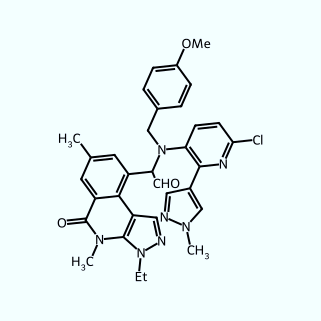 CCn1ncc2c3c(C(C=O)N(Cc4ccc(OC)cc4)c4ccc(Cl)nc4-c4cnn(C)c4)cc(C)cc3c(=O)n(C)c21